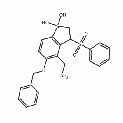 NCc1c(OCc2ccccc2)ccc2c1C(S(=O)(=O)c1ccccc1)CS2(O)O